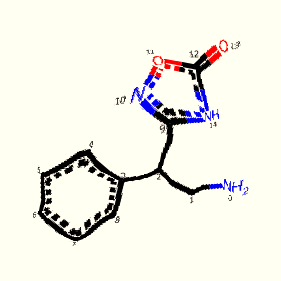 NCC(c1ccccc1)c1noc(=O)[nH]1